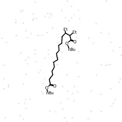 CCCCOC(=O)CCCCCCCCCCCC(CC)C(CC)C(=O)OCCCC